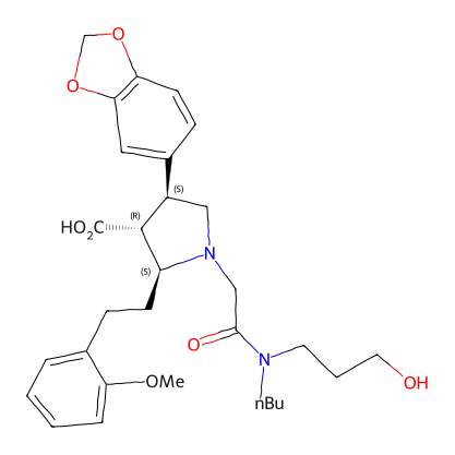 CCCCN(CCCO)C(=O)CN1C[C@H](c2ccc3c(c2)OCO3)[C@@H](C(=O)O)[C@@H]1CCc1ccccc1OC